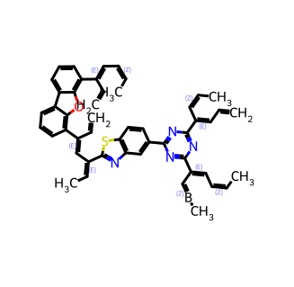 C=C/C=C(\C=C/C)c1nc(C(/C=B\C)=C/C=C\C)nc(-c2ccc3sc(C(=C/C)/C=C(\C=C)c4cccc5c4oc4c(/C(C=C)=C/C=C\C)cccc45)nc3c2)n1